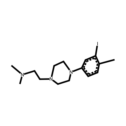 Cc1ccc(N2CCN(CCN(C)C)CC2)cc1I